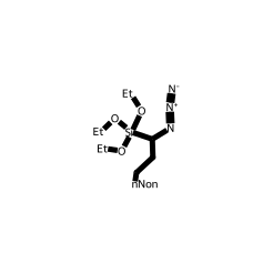 CCCCCCCCCCCC(N=[N+]=[N-])[Si](OCC)(OCC)OCC